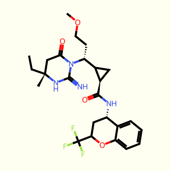 CC[C@]1(C)CC(=O)N([C@H](CCOC)C2C[C@H]2C(=O)N[C@H]2CC(C(F)(F)F)Oc3ccccc32)C(=N)N1